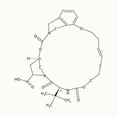 CC(C)(C)[C@@H]1NC(=O)OCCC/C=C/CCOc2cccc3c2CN(C3)C(=O)O[C@@H]2CC(C(=O)O)N(C2)C1=O